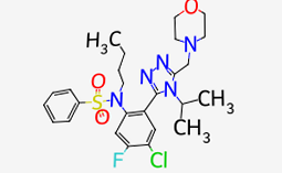 CCCCN(c1cc(F)c(Cl)cc1-c1nnc(CN2CCOCC2)n1C(C)C)S(=O)(=O)c1ccccc1